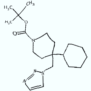 CC(C)(C)OC(=O)N1CCC(Cn2ccnn2)(C2CCCCC2)CC1